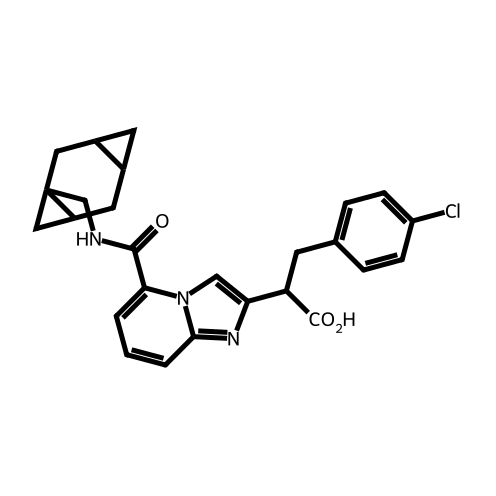 O=C(NCC12CC3CC3CC1C2)c1cccc2nc(C(Cc3ccc(Cl)cc3)C(=O)O)cn12